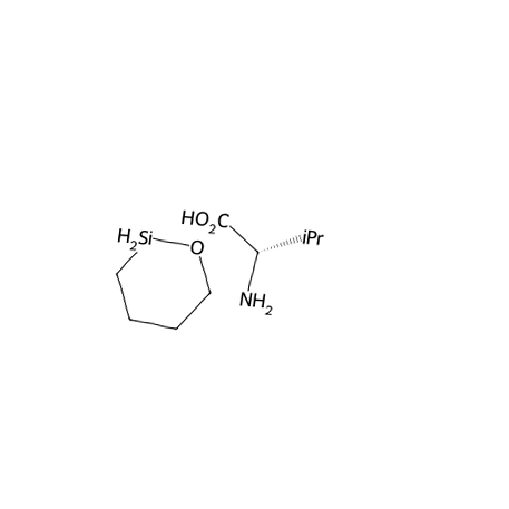 C1CC[SiH2]OC1.CC(C)[C@H](N)C(=O)O